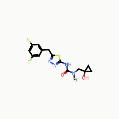 CCN(CC1(O)CC1)C(=O)Nc1nnc(Cc2cc(F)cc(F)c2)s1